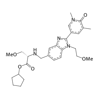 COCCn1c(-c2cc(C)c(=O)n(C)c2)nc2cc(CN[C@@H](COC)C(=O)OC3CCCC3)ccc21